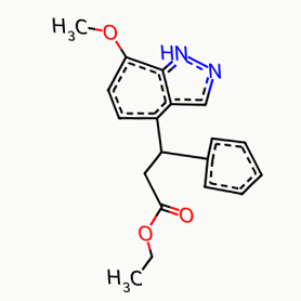 CCOC(=O)CC(c1ccccc1)c1ccc(OC)c2[nH]ncc12